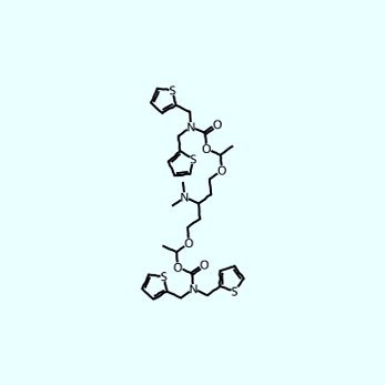 CC(OCCC(CCOC(C)OC(=O)N(Cc1cccs1)Cc1cccs1)N(C)C)OC(=O)N(Cc1cccs1)Cc1cccs1